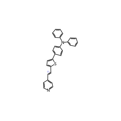 C(=C\c1ccc(-c2ccc(N(c3ccccc3)c3ccccc3)cc2)s1)/c1ccncc1